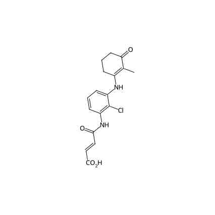 CC1=C(Nc2cccc(NC(=O)C=CC(=O)O)c2Cl)CCCC1=O